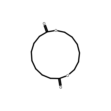 O=C1CCCCCCCC(=O)OCCCCCCO1